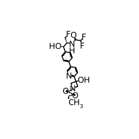 CCS(=O)(=O)N1CC(O)(c2ccc(-c3ccc([C@@H](O)[C@@H](CF)NC(=O)C(F)F)cc3)cn2)C1